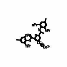 CCCc1cc(C)cc(CCC)c1N=C(C)c1cccc(C(C)=Nc2c(CCC)cc(C)cc2CCC)n1.[Cl-].[Cl-].[Cl-].[Co+3]